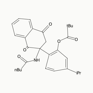 CCCCC(=O)NC1(c2ccc(C(C)C)cc2OC(=O)C(C)(C)C)CC(=O)c2ccccc2C1=O